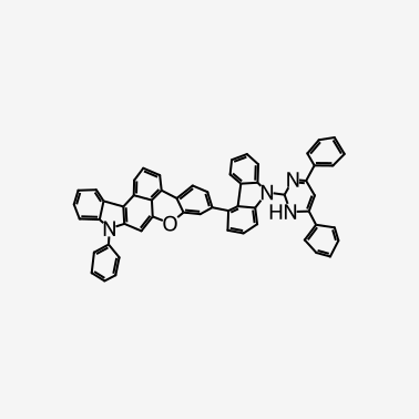 C1=C(c2ccccc2)NC(n2c3ccccc3c3c(-c4ccc5c(c4)Oc4cc6c(c7cccc-5c47)c4ccccc4n6-c4ccccc4)cccc32)N=C1c1ccccc1